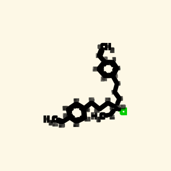 C=Cc1ccc(CCC[Si](Cl)(CC)CCCc2ccc(C=C)cc2)cc1